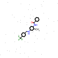 Cc1cc(NCc2ccc(C(F)(F)F)cc2)ccc1NC(=O)c1ccccc1